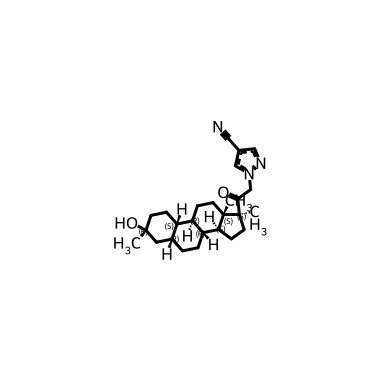 C[C@@]1(O)CC[C@H]2[C@H](CC[C@@H]3[C@@H]2CC[C@@]2(C)[C@H]3CC[C@]2(C)C(=O)Cn2cc(C#N)cn2)C1